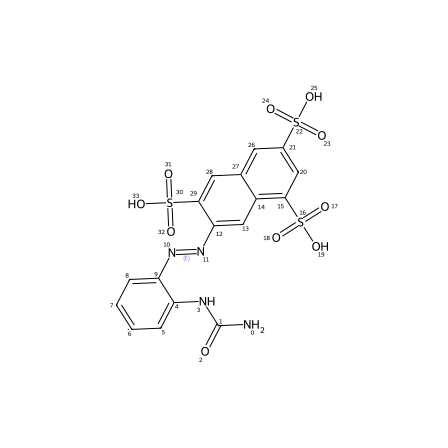 NC(=O)Nc1c[c]ccc1/N=N/c1cc2c(S(=O)(=O)O)cc(S(=O)(=O)O)cc2cc1S(=O)(=O)O